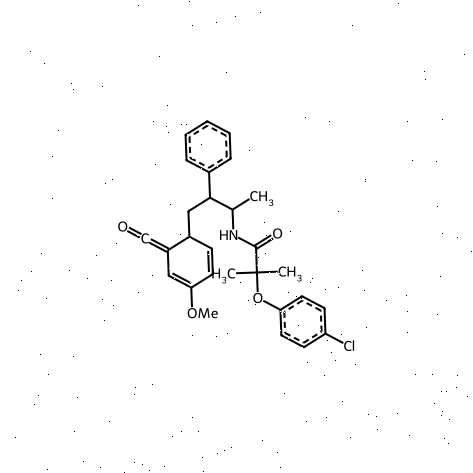 COC1=CC(=C=O)C(CC(c2ccccc2)C(C)NC(=O)C(C)(C)Oc2ccc(Cl)cc2)C=C1